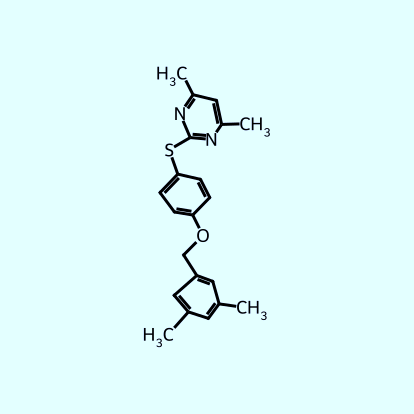 Cc1cc(C)cc(COc2ccc(Sc3nc(C)cc(C)n3)cc2)c1